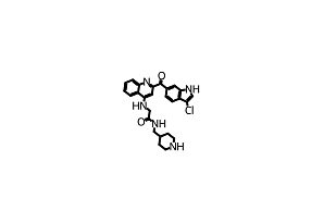 O=C(CNc1cc(C(=O)c2ccc3c(Cl)c[nH]c3c2)nc2ccccc12)NCC1CCNCC1